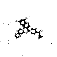 O=C(C1CC1)C1CCN(C(=O)c2cnc3c(F)cc(F)cc3c2N2CCC3(CC2)OCCO3)CC1